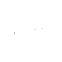 CCCC(=O)OCC1CC(=O)C(C(=O)CCC)C(=O)C1